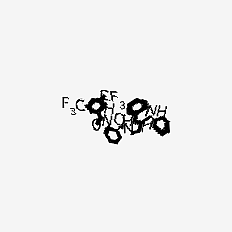 O=C(N[C@@H]1CCCC[C@@H]1C(=O)N1CC[C@@H]2[C@H](C3C=CC=CC3)Nc3ccccc3[C@@H]21)c1cc(C(F)(F)F)cc(C(F)(F)F)c1